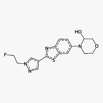 OC1COCCN1c1ccc2nc(-c3cnn(CCF)c3)sc2c1